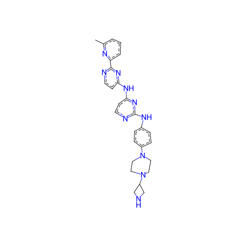 Cc1cccc(-c2nccc(Nc3ccnc(Nc4ccc(N5CCN(C6CNC6)CC5)cc4)n3)n2)n1